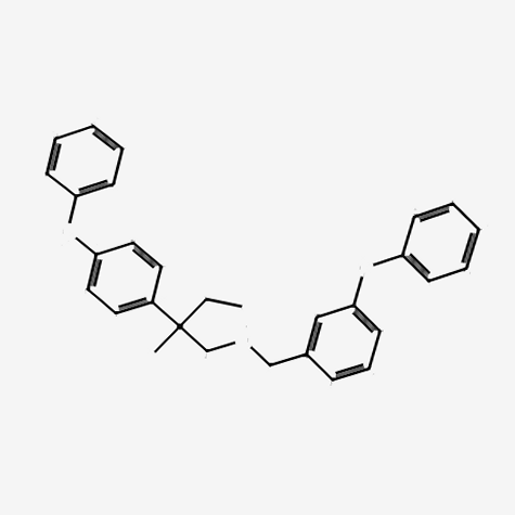 CCC(C)(COCc1cccc(Oc2ccccc2)c1)c1ccc(Oc2ccccc2)cc1